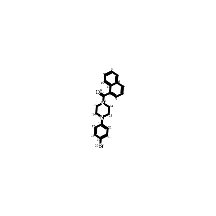 O=C(c1cccc2ccccc12)N1CCN(c2ccc(Br)cc2)CC1